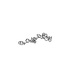 O=C(CNc1cccc(CN2CCOCC2)c1)NCc1scc2c1CN(C1CCC(=O)NC1=O)C2=O